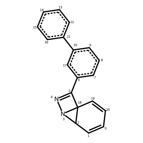 C1=CC2N3N=C(c4cccc(-c5ccccc5)c4)C23C=C1